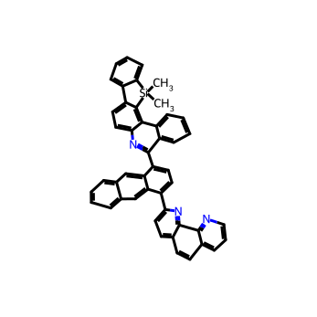 C[Si]1(C)c2ccccc2-c2ccc3nc(-c4ccc(-c5ccc6ccc7cccnc7c6n5)c5cc6ccccc6cc45)c4ccccc4c3c21